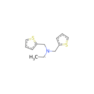 C[CH]N(Cc1cccs1)Cc1cccs1